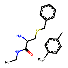 Cc1ccc(S(=O)(=O)O)cc1.N#CCNC(=O)[C@@H](N)CSCc1ccccc1